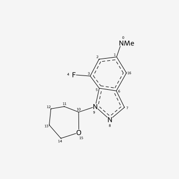 CNc1cc(F)c2c(cnn2C2CCCCO2)c1